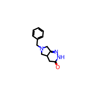 O=C1CC2CN(Cc3ccccc3)CC2=NN1